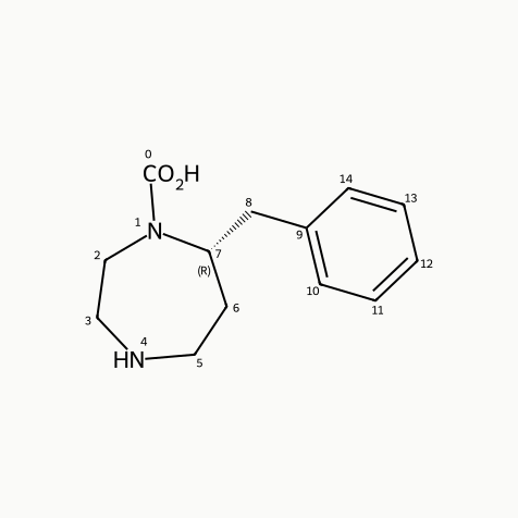 O=C(O)N1CCNCC[C@H]1Cc1ccccc1